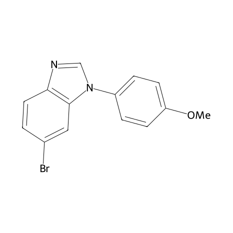 COc1ccc(-n2cnc3ccc(Br)cc32)cc1